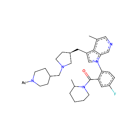 CC(=O)N1CCC(CN2CC[C@@H](Cc3cn(-c4ccc(F)cc4C(=O)N4CCCCC4C)c4cncc(C)c34)C2)CC1